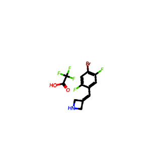 Fc1cc(C=C2CNC2)c(F)cc1Br.O=C(O)C(F)(F)F